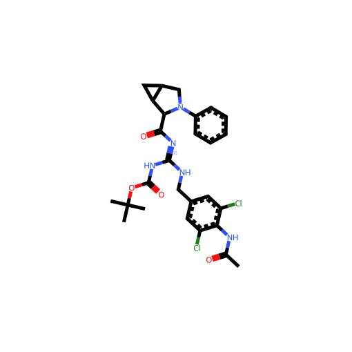 CC(=O)Nc1c(Cl)cc(CN/C(=N/C(=O)C2C3CC3CN2c2ccccc2)NC(=O)OC(C)(C)C)cc1Cl